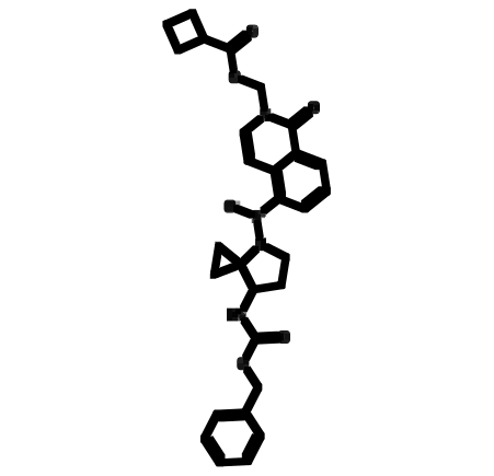 O=C(NC1CCN([S+]([O-])c2cccc3c(=O)n(COC(=O)C4CCC4)ccc23)C12CC2)OCc1ccccc1